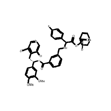 COc1ccc([C@H](Cc2c(Cl)cncc2Cl)OC(=O)c2cccc(CNC(C(=O)O[C@H]3CN4CCC3CC4)c3ccc(F)cc3)c2)cc1OC